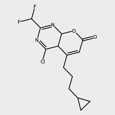 O=C1C=C(CCCC2CC2)C2C(Cl)=NC(C(F)F)=NC2O1